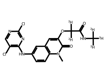 [2H]C([2H])([2H])NC(=O)C([2H])([2H])Oc1cc2cc(Nc3nc(Cl)ncc3Cl)ccc2n(C)c1=O